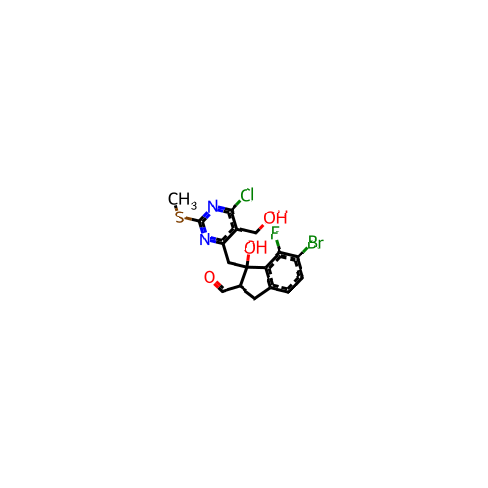 CSc1nc(Cl)c(CO)c(CC2(O)c3c(ccc(Br)c3F)CC2C=O)n1